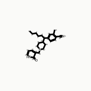 CCCCCC(c1ccc(C#N)c(C)c1)C1CCN(Cc2ccc[nH]c2=O)CC1